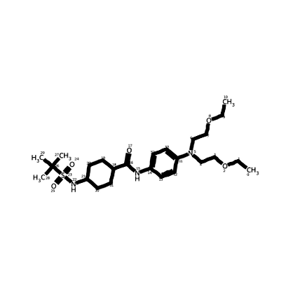 CCOCCN(CCOCC)c1ccc(NC(=O)C2CCC(NS(=O)(=O)C(C)(C)C)CC2)cc1